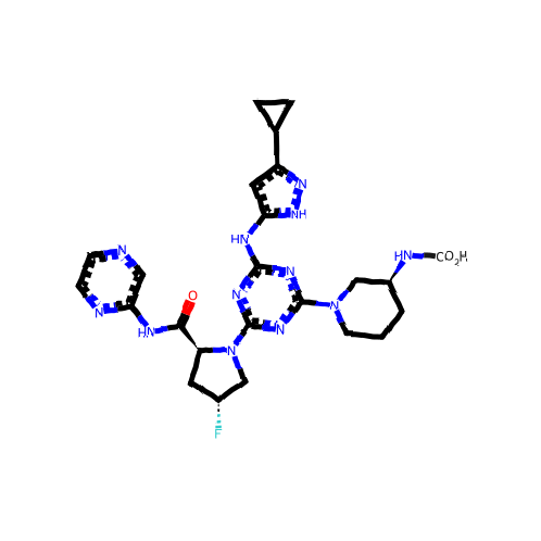 O=C(O)N[C@H]1CCCN(c2nc(Nc3cc(C4CC4)n[nH]3)nc(N3C[C@H](F)C[C@H]3C(=O)Nc3cnccn3)n2)C1